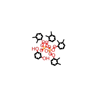 Cc1cccc(OOP(=O)(OOc2cccc(C)c2C)OP(=O)(OOc2cccc(C)c2C)OOc2cccc(C)c2C)c1C.Oc1cccc(O)c1